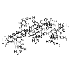 CC(=O)N[C@@H](CC(C)C)C(=O)N[C@@H](CCCNC(=N)N)C(=O)N1CCC[C@H]1C(=O)N[C@@H](C)C(=O)N[C@H](C(=O)N[C@@H](CC(=O)O)C(=O)N[C@@H](CCCCN)C(=O)N[C@@H](Cc1ccc(O)cc1)C(=O)N[C@@H](CCCNC(=N)N)C(=O)N[C@@H](CC(C)C)C(N)=O)[C@@H](C)O